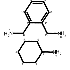 NC1CCCCC1.NCc1ccccc1CN